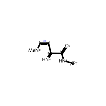 CN/C=C\C(=N)C(=O)NC(C)C